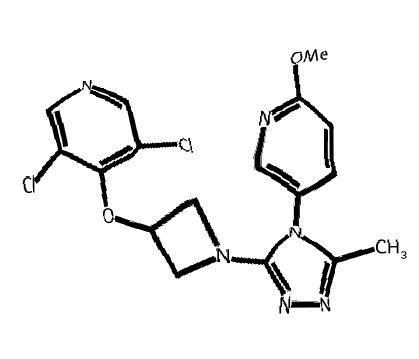 COc1ccc(-n2c(C)nnc2N2CC(Oc3c(Cl)cncc3Cl)C2)cn1